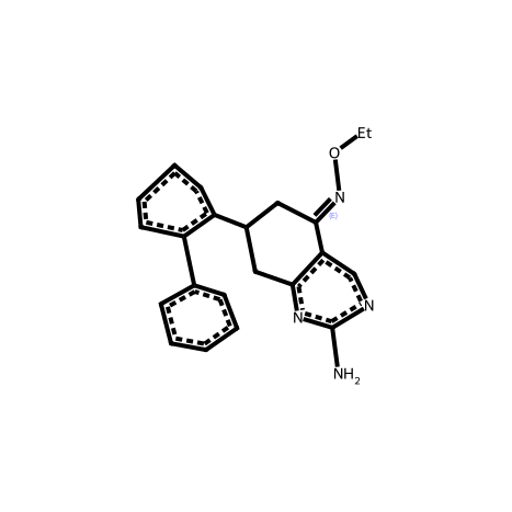 CCO/N=C1\CC(c2ccccc2-c2ccccc2)Cc2nc(N)ncc21